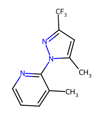 Cc1cccnc1-n1nc(C(F)(F)F)cc1C